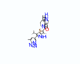 Cc1c(C(=O)N2CCC[C@@H]3NCC[C@@H]32)sc2c(C(C)C)c(-c3cc(C)c4ncnn4c3)[nH]c12